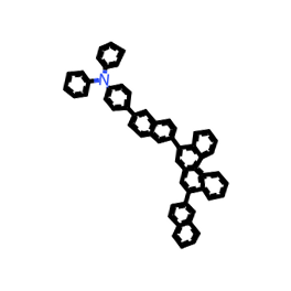 c1ccc(N(c2ccccc2)c2ccc(-c3ccc4cc(-c5cc6cc(-c7ccc8ccccc8c7)c7ccccc7c6c6ccccc56)ccc4c3)cc2)cc1